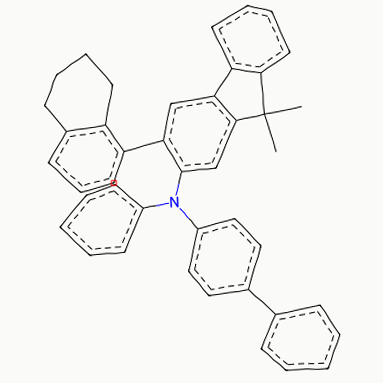 CC1(C)c2ccccc2-c2cc(-c3cccc4c3CCCC4)c(N(c3ccccc3)c3ccc(-c4ccccc4)cc3)cc21